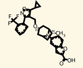 C[C@@H]1CC2C[C@H](OCc3c(-c4ccccc4C(F)(F)F)noc3C3CC3)CC1N2c1ccc2oc(C(=O)O)cc2c1